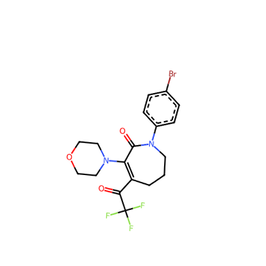 O=C1C(N2CCOCC2)=C(C(=O)C(F)(F)F)CCCN1c1ccc(Br)cc1